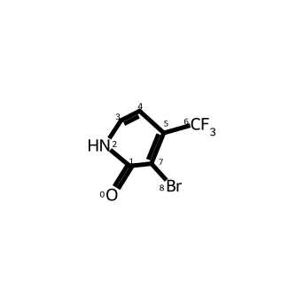 O=c1[nH]ccc(C(F)(F)F)c1Br